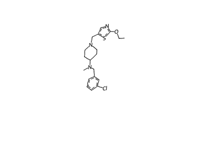 CCOc1ncc(CN2CCC(N(C)Cc3cccc(Cl)c3)CC2)s1